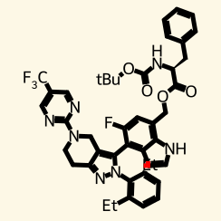 CCc1cccc(CC)c1-n1nc2c(c1-c1c(F)cc(COC(=O)[C@H](Cc3ccccc3)NC(=O)OC(C)(C)C)c3[nH]ccc13)CN(c1ncc(C(F)(F)F)cn1)CC2